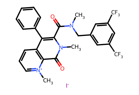 CN(Cc1cc(C(F)(F)F)cc(C(F)(F)F)c1)C(=O)c1c(-c2ccccc2)c2ccc[n+](C)c2c(=O)n1C.[I-]